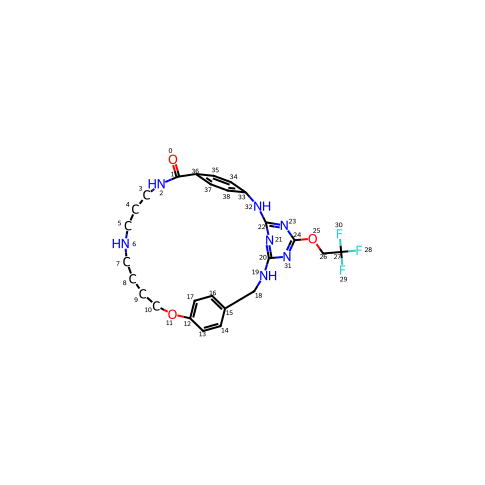 O=C1NCCCNCCCCOc2ccc(cc2)CNc2nc(nc(OCC(F)(F)F)n2)Nc2ccc1cc2